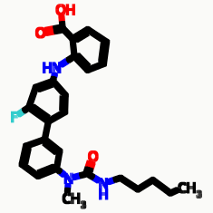 CCCCCNC(=O)N(C)c1cccc(-c2ccc(Nc3ccccc3C(=O)O)cc2F)c1